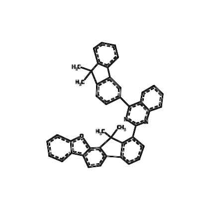 CC1(C)c2ccccc2-c2cc(-c3nc(-c4cccc5c4C(C)(C)c4c-5ccc5c4oc4ccccc45)nc4ccccc34)ccc21